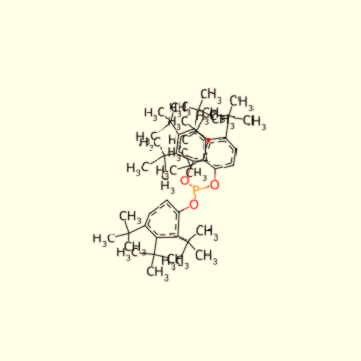 CC(C)(C)c1ccc(OP(Oc2ccc(C(C)(C)C)c(C(C)(C)C)c2C(C)(C)C)Oc2ccc(C(C)(C)C)c(C(C)(C)C)c2C(C)(C)C)c(C(C)(C)C)c1C(C)(C)C